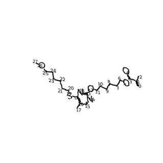 C=C(C)C(=O)OCCCCCCOc1ncc(C)c(SCCCCCCOC)n1